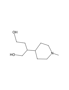 CN1CCC(C(CO)CCO)CC1